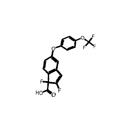 O=C(O)C1(F)C(F)=Cc2cc(Oc3ccc(OC(F)(F)F)cc3)ccc21